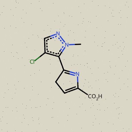 Cn1ncc(Cl)c1C1=NC(C(=O)O)=CC1